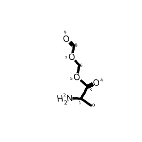 CC(N)C(=O)OCOC=O